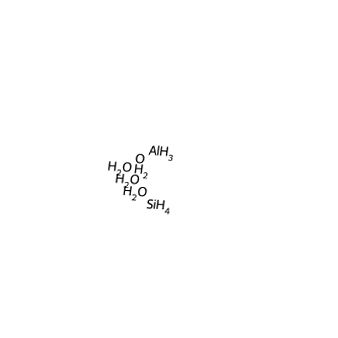 O.O.O.O.[AlH3].[SiH4]